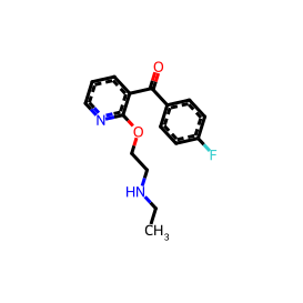 CCNCCOc1ncccc1C(=O)c1ccc(F)cc1